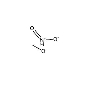 C[O].O=[NH+][O-]